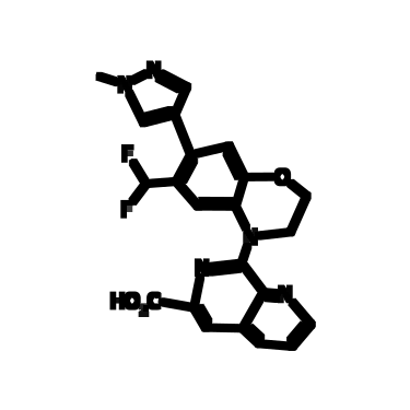 Cn1cc(-c2cc3c(cc2C(F)F)N(c2nc(C(=O)O)cc4cccnc24)CCO3)cn1